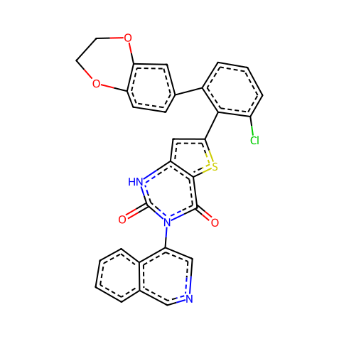 O=c1[nH]c2cc(-c3c(Cl)cccc3-c3ccc4c(c3)OCCO4)sc2c(=O)n1-c1cncc2ccccc12